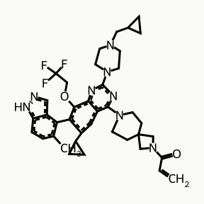 C=CC(=O)N1CC2(CCN(c3nc(N4CCN(CC5CC5)CC4)nc4c(OCC(F)(F)F)c(-c5c(C)ccc6[nH]ncc56)c(C5CC5)cc34)CC2)C1